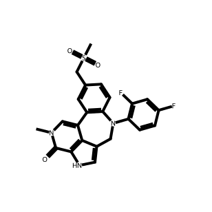 Cn1cc2c3c(c[nH]c3c1=O)CN(c1ccc(F)cc1F)c1ccc(CS(C)(=O)=O)cc1-2